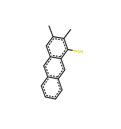 Cc1cc2cc3ccccc3cc2c(S)c1C